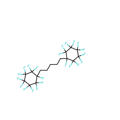 FC1(F)C(F)(F)C(F)(F)C(F)(CCCCCC2(F)C(F)(F)C(F)(F)C(F)(F)C(F)(F)C2(F)F)C(F)(F)C1(F)F